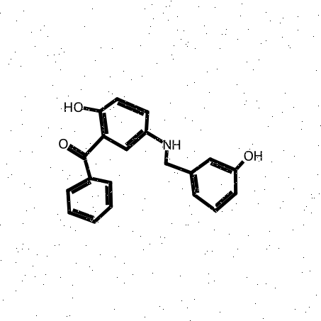 O=C(c1ccccc1)c1cc(NCc2cccc(O)c2)ccc1O